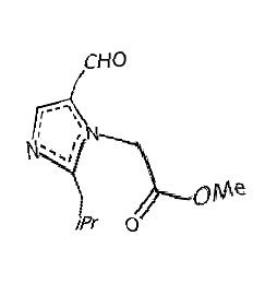 COC(=O)Cn1c(C=O)cnc1C(C)C